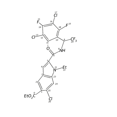 CCOC(=O)c1cc2cc(C(=O)NC(c3cc(Cl)c(F)c(Cl)c3F)C(F)(F)F)n(CC)c2cc1Cl